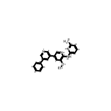 CCOc1cc(-c2cncc(-c3ccccc3)c2)cnc1Nc1cccc(C)n1